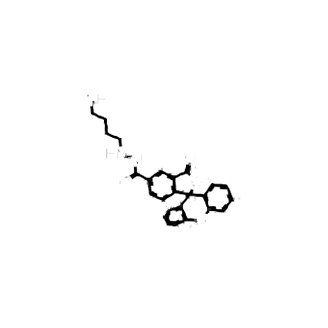 NCCCCNNC(=O)c1ccc2c(c1)C(=O)OC21c2ccccc2Oc2ccccc21